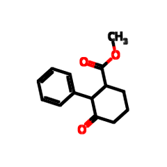 COC(=O)C1CCCC(=O)C1c1ccccc1